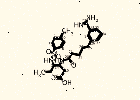 CCC(NS(=O)(=O)c1ccc(C)cc1)C(CC(=O)O)NC(=O)CCCCc1cccc(C(=N)N)c1